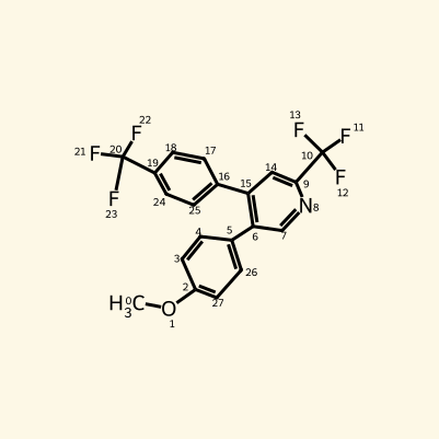 COc1ccc(-c2cnc(C(F)(F)F)cc2-c2ccc(C(F)(F)F)cc2)cc1